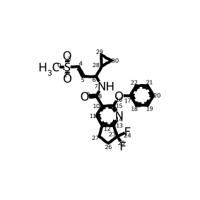 CS(=O)(=O)C=CC(NC(=O)c1cc2c(nc1Oc1ccccc1)C(F)(F)CC2)C1CC1